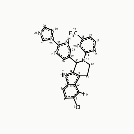 Fc1c(Cl)ccc2[nH]c3c(c12)CCN(c1nccc(C(F)(F)F)n1)C3c1cnc(-n2cncn2)nc1